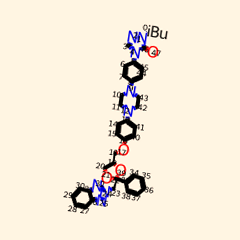 CCC(C)n1ncn(-c2ccc(N3CCN(c4ccc(OC[C@@H]5CO[C@@](Cn6nc7ccccc7n6)(c6ccccc6)O5)cc4)CC3)cc2)c1=O